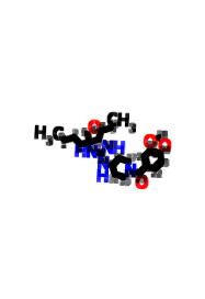 CCCCC(C=O)(CCCC)NC(=N)NC1CCN(C(=O)c2ccc3c(c2)OCO3)CC1